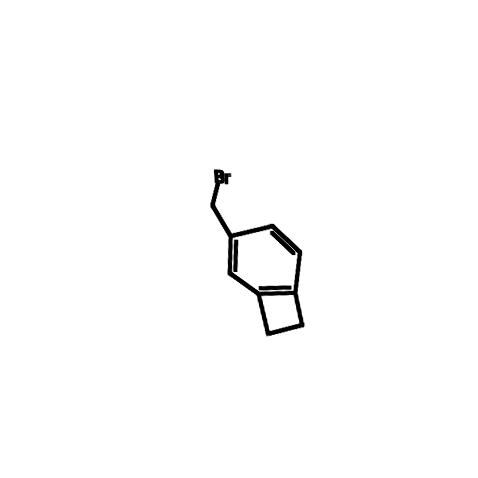 BrCc1ccc2c(c1)CC2